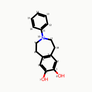 Oc1cc2c(cc1O)CCN(c1ccccc1)CC2